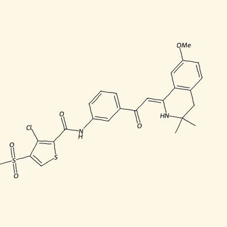 COc1ccc2c(c1)/C(=C/C(=O)c1cccc(NC(=O)c3scc(S(C)(=O)=O)c3Cl)c1)NC(C)(C)C2